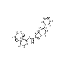 c1cc(CNc2nc3ccc(-c4ccncc4)cc3s2)c2c(c1)OCCCO2